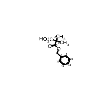 CC(C)(C(=O)O)C(=O)OCc1ccccc1